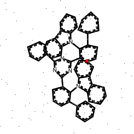 c1ccc(-c2nc(-c3cccc(-c4ccccc4)c3-n3c4ccccc4c4ccccc43)nc(-c3cccc(-c4ccccc4)c3-n3c4ccccc4c4ccccc43)n2)cc1